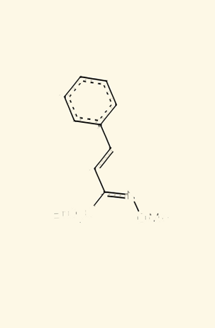 CCOC(=O)C(/C=C/c1ccccc1)=NOC